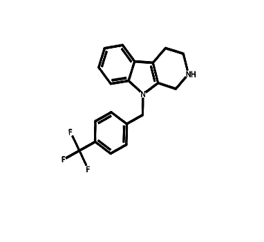 FC(F)(F)c1ccc(Cn2c3c(c4ccccc42)CCNC3)cc1